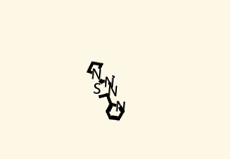 C/C(=N\N(C)C(=S)N1CCC1)c1ccccn1